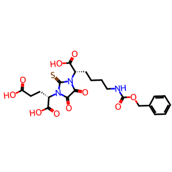 O=C(O)CC[C@@H](C(=O)O)N1C(=O)C(=O)N([C@@H](CCCCNC(=O)OCc2ccccc2)C(=O)O)C1=S